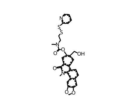 CN(CCSSc1ccccn1)C(=O)Oc1cc2c(=O)n(C)c3c4cc5c(cc4ccc3c2cc1CO)OCO5